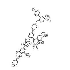 C[C@@H]1CN(c2cc(N3CCN(CC4=C(c5ccc(Cl)cc5)CC(C)(C)CC4)CC3)ccc2C(=O)NS(=O)(=O)c2cc3c(c([N+](=O)[O-])c2)N[C@@H](C2CCOCC2)CO3)c2cc3cc[nH]c3nc2O1.Cl